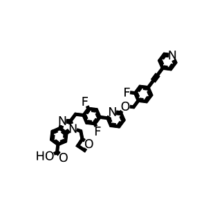 O=C(O)c1ccc2nc(Cc3cc(F)c(-c4cccc(OCc5ccc(C#Cc6ccncc6)cc5F)n4)cc3F)n(CC3CCO3)c2c1